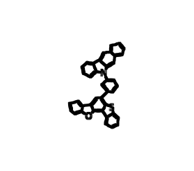 c1cc(-c2cc3c4ccccc4oc3c3c2sc2ccccc23)cc(-n2c3ccccc3c3cc4ccccc4cc32)c1